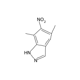 Cc1cc2cn[nH]c2c(C)c1[N+](=O)[O-]